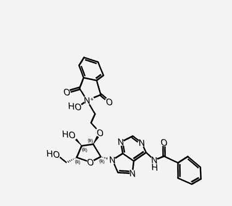 O=C(Nc1ncnc2c1ncn2[C@@H]1O[C@H](CO)[C@@H](O)[C@H]1OCC[N+]1(O)C(=O)c2ccccc2C1=O)c1ccccc1